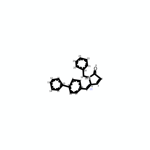 O=C1C=C/C(=C/c2ccc(-c3ccccc3)cc2)N1Cc1ccccc1